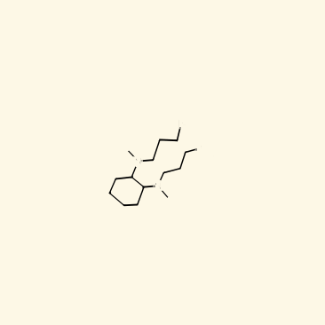 BCCCN(C)C1CCCCC1N(C)CCCB